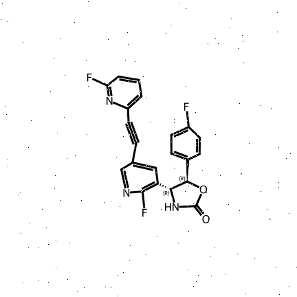 O=C1N[C@H](c2cc(C#Cc3cccc(F)n3)cnc2F)[C@@H](c2ccc(F)cc2)O1